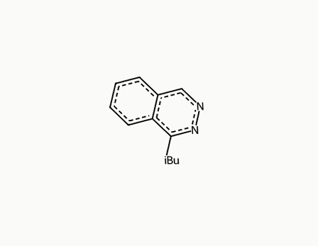 [CH2]C(CC)c1nncc2ccccc12